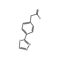 C=C(F)Cc1ccc(-c2nnco2)cc1